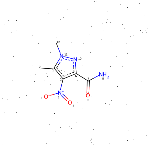 Cc1c([N+](=O)[O-])c(C(N)=O)nn1C